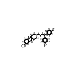 Fc1ccc(C(=CCCN2CCC3(CC2)Cc2cc(Cl)ccc2O3)c2ccc(F)cc2)cc1